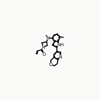 C=CC(=O)N1CC(N(C)c2ccc(C)c3[nH]c(-c4cnc5c(c4)COCC5)cc23)C1